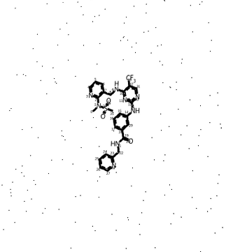 CN(c1ncccc1CNc1nc(Nc2cccc(C(=O)NCc3ccccn3)c2)ncc1C(F)(F)F)S(C)(=O)=O